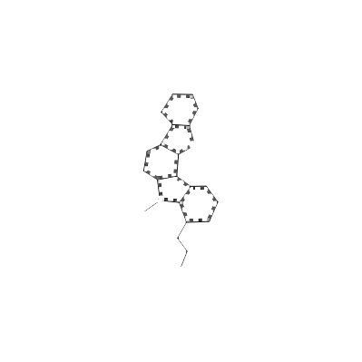 CCCc1cccc2c3c4oc5ccccc5c4ccc3n(C)c12